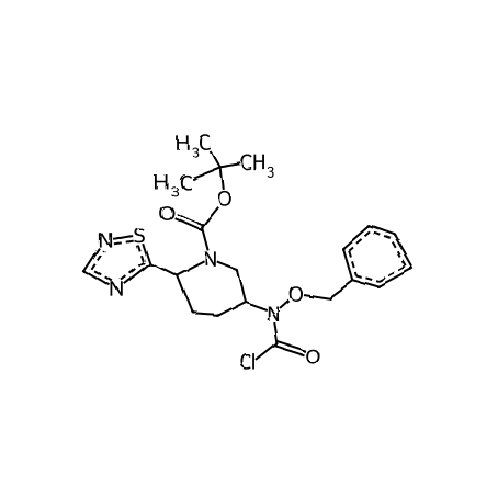 CC(C)(C)OC(=O)N1CC(N(OCc2ccccc2)C(=O)Cl)CCC1c1ncns1